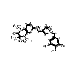 CN1C(=O)C(C)(C)N(C)c2nc(NCc3cnn(Cc4cc(F)c(F)c(F)c4)c3)ncc21